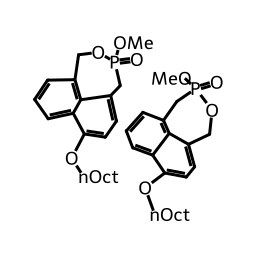 CCCCCCCCOc1ccc2c3c(cccc13)COP(=O)(OC)C2.CCCCCCCCOc1ccc2c3c(cccc13)CP(=O)(OC)OC2